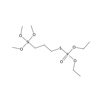 CCOP(=O)(OCC)SCCC[Si](OC)(OC)OC